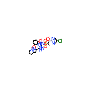 COc1cccc(OC)c1-n1c(NS(=O)(=O)C(C)C(OC)c2ncc(Cl)cn2)nnc1-c1cc2n(n1)CCC2